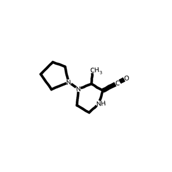 CC1C(=C=O)NCCN1N1CCCC1